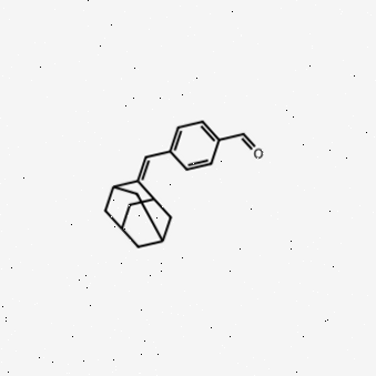 O=Cc1ccc(C=C2C3CC4CC(C3)CC2C4)cc1